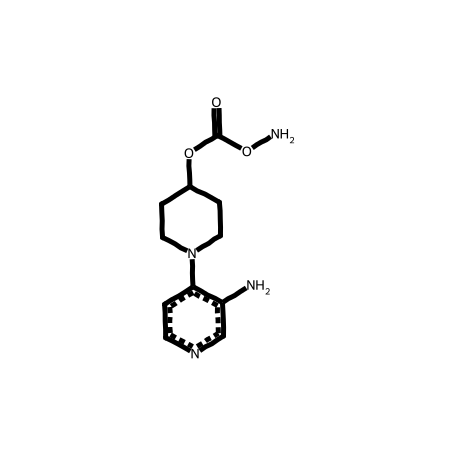 NOC(=O)OC1CCN(c2ccncc2N)CC1